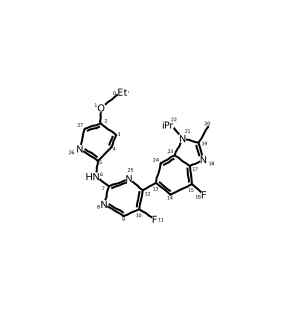 C[CH]Oc1ccc(Nc2ncc(F)c(-c3cc(F)c4nc(C)n(C(C)C)c4c3)n2)nc1